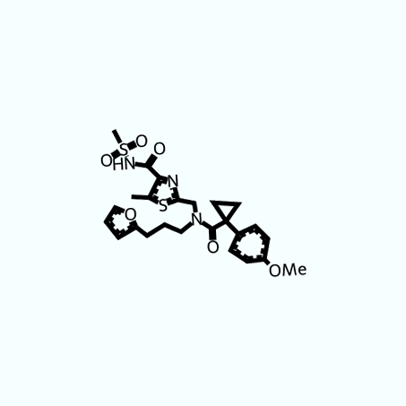 COc1ccc(C2(C(=O)N(CCCc3ccco3)Cc3nc(C(=O)NS(C)(=O)=O)c(C)s3)CC2)cc1